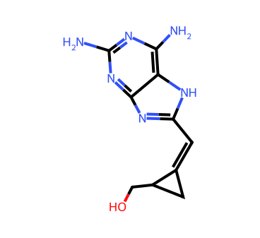 Nc1nc(N)c2[nH]c(C=C3CC3CO)nc2n1